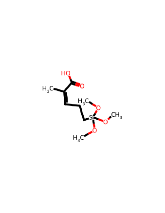 CO[Si](CCC=C(C)C(=O)O)(OC)OC